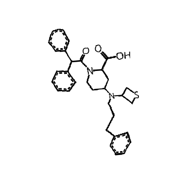 O=C(O)C1CC(N(CCCc2ccccc2)C2CSC2)CCN1C(=O)C(c1ccccc1)c1ccccc1